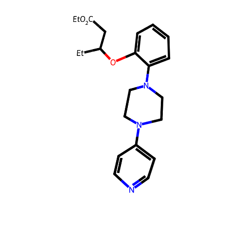 CCOC(=O)CC(CC)Oc1ccccc1N1CCN(c2ccncc2)CC1